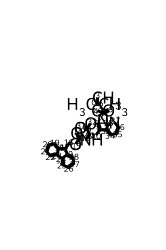 CC(C)(C)OC(=O)n1cc(C[C@H](NC(=O)OCC2c3ccccc3-c3ccccc32)C(=O)O)c2cccnc21